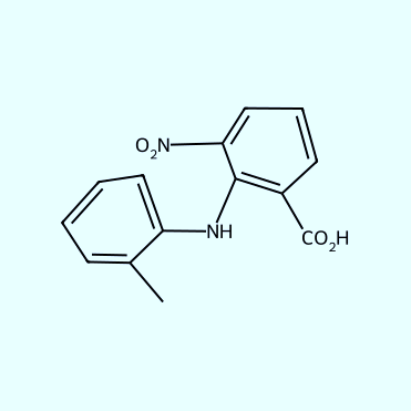 Cc1ccccc1Nc1c(C(=O)O)cccc1[N+](=O)[O-]